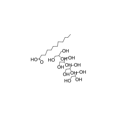 CCCCCCCCCCCC(=O)O.OCC(O)CO.OCC(O)CO.OCC(O)CO.OCC(O)CO